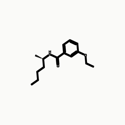 CCCC[C@H](C)NC(=O)c1cccc(OCC)c1